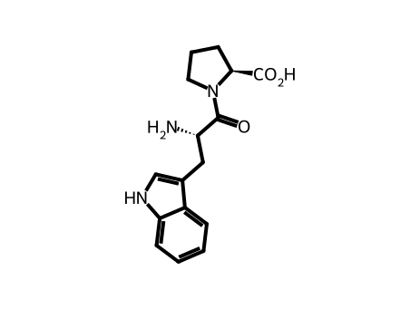 N[C@@H](Cc1c[nH]c2ccccc12)C(=O)N1CCC[C@H]1C(=O)O